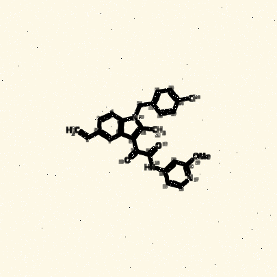 C=Cc1ccc2c(c1)c(C(=O)C(=O)Nc1ccnc(OC)c1)c(C)n2Cc1ccc(Cl)cc1